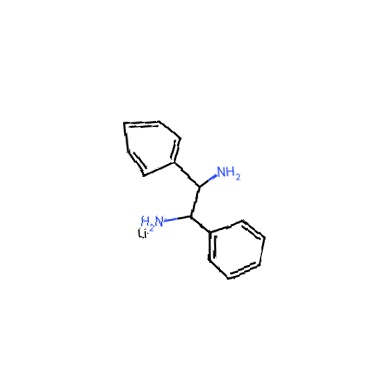 NC(c1ccccc1)C(N)c1ccccc1.[Li]